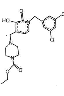 CCOC(=O)N1CCN(Cc2ccn(Cc3cc(Cl)cc(Cl)c3)c(=O)c2O)CC1